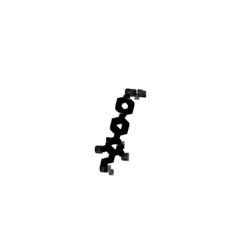 C=CCc1c(Cl)nc(-c2ccc(N3CCN(C(=O)OCC)CC3)cc2)nc1Cl